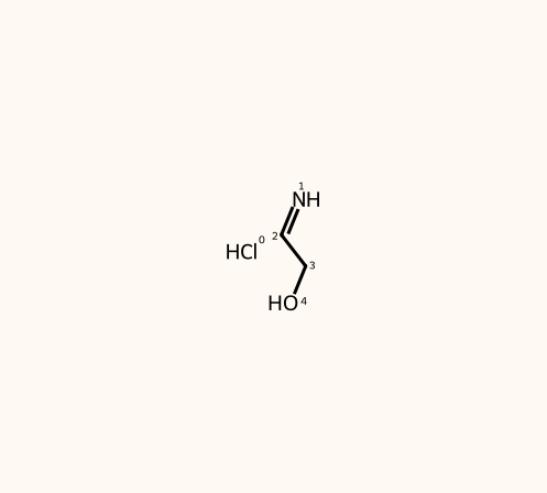 Cl.N=CCO